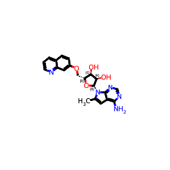 Cc1cc2c(N)ncnc2n1[C@@H]1O[C@H](COc2ccc3cccnc3c2)[C@@H](O)[C@H]1O